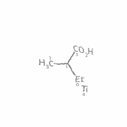 CCC(C)C(=O)O.[Ti]